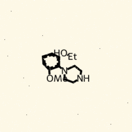 CCO.COc1ccccc1N1CCNCC1